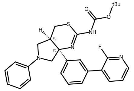 CC(C)(C)OC(=O)NC1=N[C@@]2(c3cccc(-c4cccnc4F)c3)CN(c3ccccc3)C[C@H]2CS1